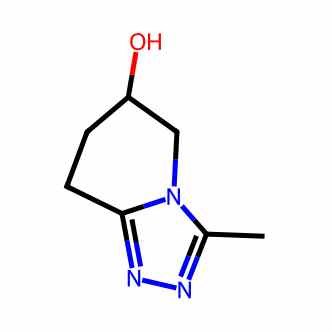 Cc1nnc2n1CC(O)CC2